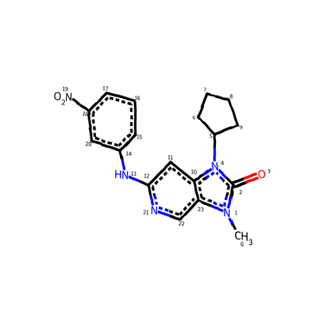 Cn1c(=O)n(C2CCCC2)c2cc(Nc3cccc([N+](=O)[O-])c3)ncc21